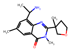 Cc1cc(C(C)N)c2nc(C3(C)CCOC3)n(C)c(=O)c2c1